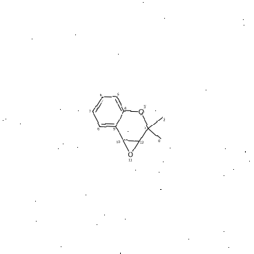 CC1(C)Oc2ccccc2C2OC21